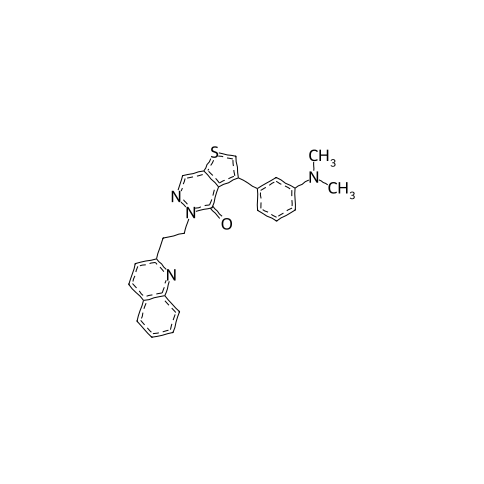 CN(C)c1cccc(-c2csc3cnn(CCc4ccc5ccccc5n4)c(=O)c23)c1